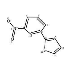 O=[N+]([O-])c1cccc(-c2cc[c]s2)c1